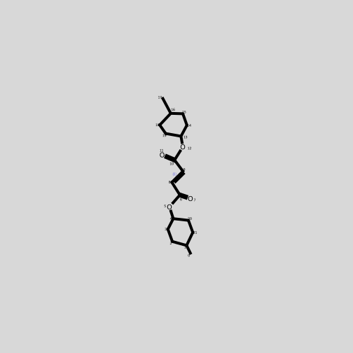 CC1CCC(OC(=O)/C=C/C(=O)OC2CCC(C)CC2)CC1